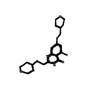 O=c1[nH]c(CSC2CCOCC2)nc2cc(SCC3CCOCC3)cc(F)c12